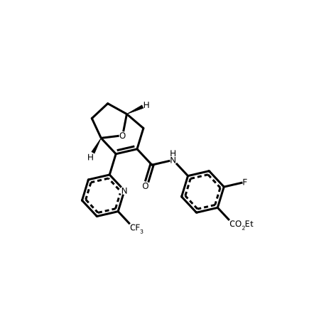 CCOC(=O)c1ccc(NC(=O)C2=C(c3cccc(C(F)(F)F)n3)[C@@H]3CC[C@H](C2)O3)cc1F